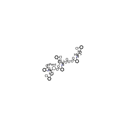 CCCCCOC(=O)c1ccccc1/C=N/N(c1nc(-c2ccccc2Cl)cs1)C1CCCC(OC(=O)c2ccccc2/C=N/N(c2nc(-c3ccccc3Cl)cs2)C(C)OC(=O)OCOC(=O)c2ccccc2/C=N/Nc2nc(-c3ccccc3Cl)cs2)C1